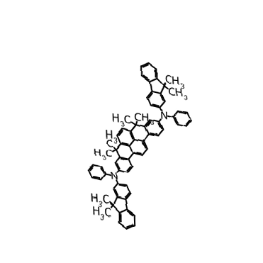 CC1(C)c2ccccc2-c2ccc(N(c3ccccc3)c3ccc4c(c3)C(C)(C)c3ccc5c6c(ccc-4c36)-c3ccc(N(c4ccccc4)c4ccc6c(c4)C(C)(C)c4ccccc4-6)cc3C5(C)C)cc21